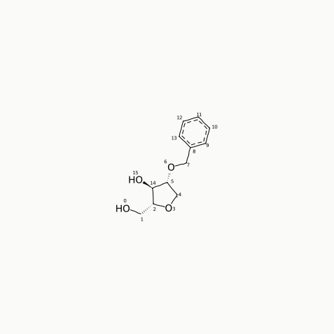 OC[C@H]1O[CH][C@@H](OCc2ccccc2)[C@@H]1O